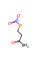 BC(=O)CCO[N+](=O)[O-]